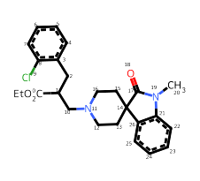 CCOC(=O)C(Cc1ccccc1Cl)CN1CCC2(CC1)C(=O)N(C)c1ccccc12